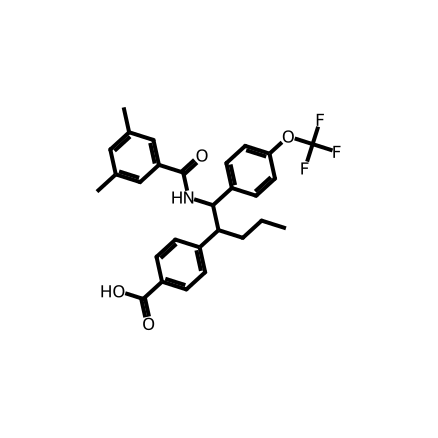 CCCC(c1ccc(C(=O)O)cc1)C(NC(=O)c1cc(C)cc(C)c1)c1ccc(OC(F)(F)F)cc1